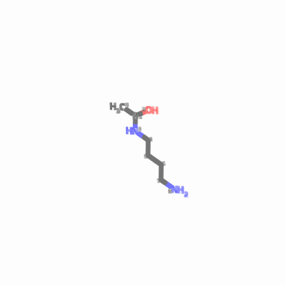 CB(O)NCCCCN